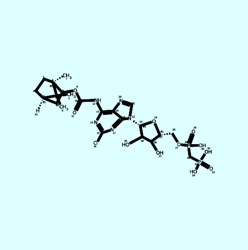 CC1(C)[C@@H]2CC[C@@]1(C)C(OC(=O)Nc1nc(Cl)nc3c1ncn3[C@@H]1O[C@H](COP(=O)(O)CP(=O)(O)O)C(O)C1O)C2